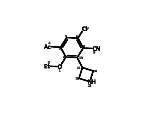 CCOc1c(C(C)=O)cc(Cl)c(C#N)c1C1CNC1